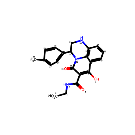 O=C(O)CNC(=O)c1c(O)c2cccc3c2n(c1=O)C(c1ccc(C(F)(F)F)cc1)CN3